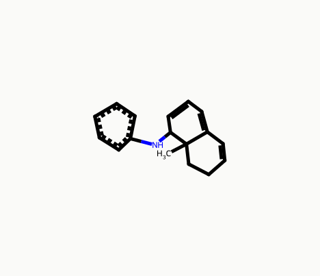 CC12CCC=CC1=CC=CC2Nc1ccccc1